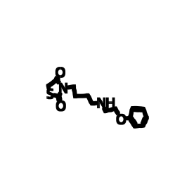 O=C1CSC(=O)N1CCCCNCCOc1ccccc1